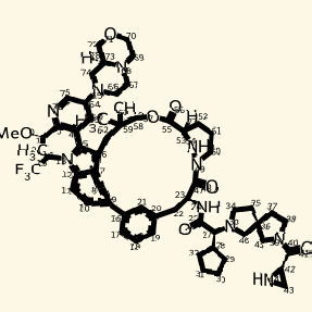 CO[C@@H](C)C1=C(c2c3c4cc(ccc4n2CC(F)(F)F)-c2cccc(c2)C[C@H](NC(=O)[C@H](C2CCCC2)N2CC[C@]4(CCN(C(=O)[C@H]5CN5)C4)C2)C(=O)N2CCC[C@H](N2)C(=O)OCC(C)(C)C3)CC(N2CCN3CCOC[C@@H]3C2)C=N1